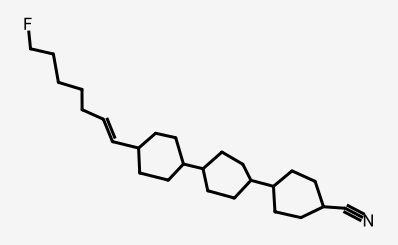 N#CC1CCC(C2CCC(C3CCC(C=CCCCCCF)CC3)CC2)CC1